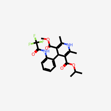 COC(=O)C1=C(C)NC(C)=C(C(=O)OC(C)C)C1c1ccccc1NC(=O)C(F)(F)F